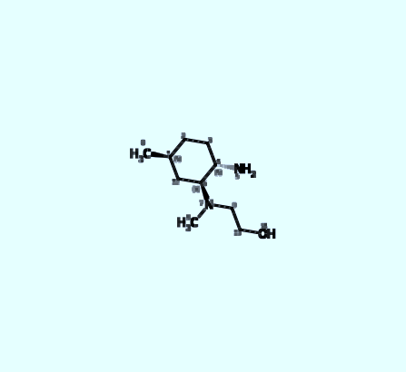 C[C@H]1CC[C@H](N)[C@@H](N(C)CCO)C1